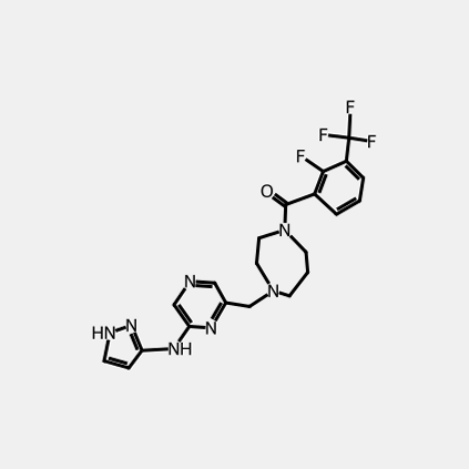 O=C(c1cccc(C(F)(F)F)c1F)N1CCCN(Cc2cncc(Nc3cc[nH]n3)n2)CC1